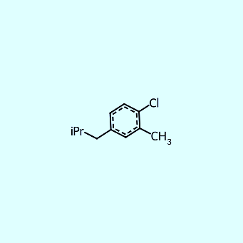 Cc1cc(CC(C)C)ccc1Cl